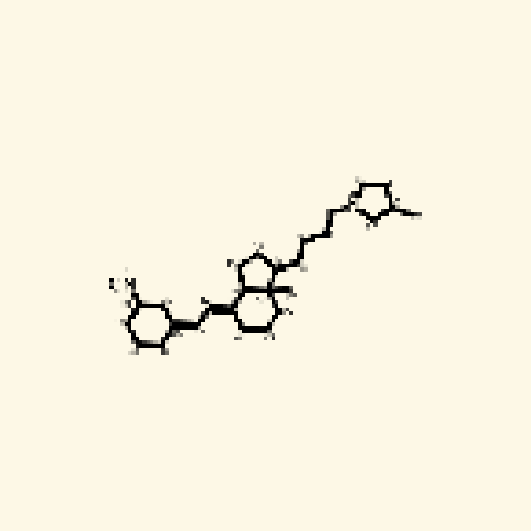 CC1CCN(CCCCC2CCC3/C(=C/C=C4/CCCC(N=O)C4)CCCC23C)C1